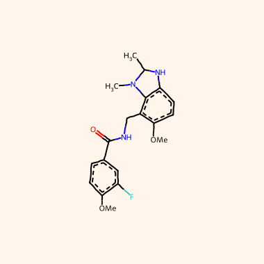 COc1ccc(C(=O)NCc2c(OC)ccc3c2N(C)C(C)N3)cc1F